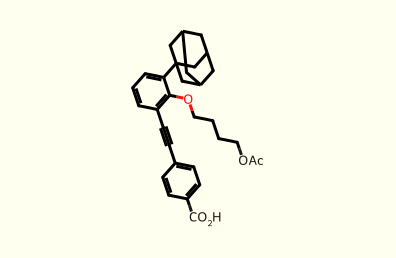 CC(=O)OCCCCOc1c(C#Cc2ccc(C(=O)O)cc2)cccc1C12CC3CC(CC(C3)C1)C2